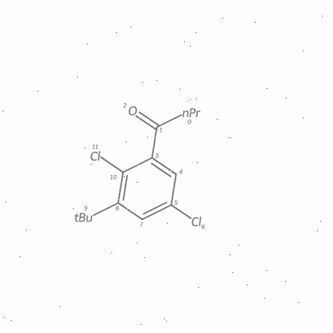 CCCC(=O)c1cc(Cl)cc(C(C)(C)C)c1Cl